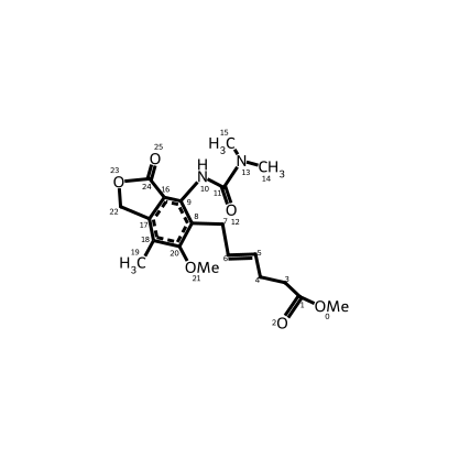 COC(=O)CCC=CCc1c(NC(=O)N(C)C)c2c(c(C)c1OC)COC2=O